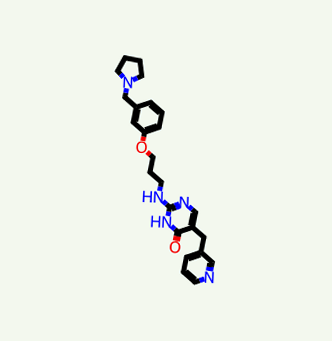 O=c1[nH]c(NCCCOc2cccc(CN3CCCC3)c2)ncc1Cc1cccnc1